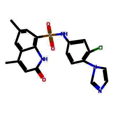 Cc1cc(S(=O)(=O)Nc2ccc(-n3ccnc3)c(Cl)c2)c2[nH]c(=O)cc(C)c2c1